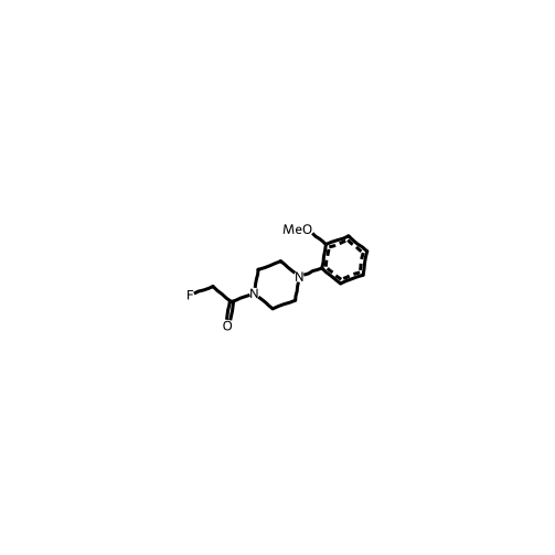 COc1ccccc1N1CCN(C(=O)CF)CC1